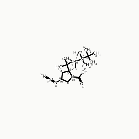 CC(C)(C)[C@]1(CO[Si](C)(C)C(C)(C)C)C[C@H](N=[N+]=[N-])CN1C(=O)O